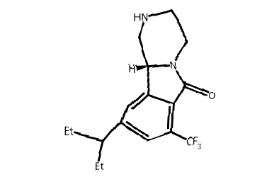 CCC(CC)c1cc2c(c(C(F)(F)F)c1)C(=O)N1CCNC[C@@H]21